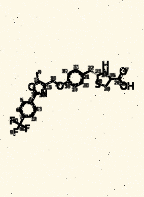 Cc1oc(-c2ccc(C(F)(F)F)cc2)nc1COc1ccc(C[C@@H]2NC(C(=O)O)CS2)cc1